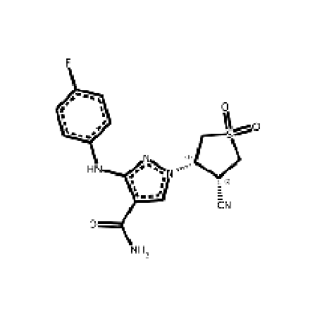 N#C[C@H]1CS(=O)(=O)C[C@H]1n1cc(C(N)=O)c(Nc2ccc(F)cc2)n1